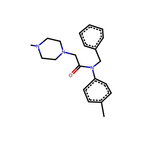 Cc1ccc(N(Cc2ccccc2)C(=O)CN2CCN(C)CC2)cc1